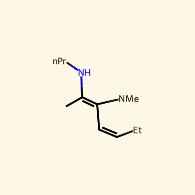 CC/C=C\C(NC)=C(/C)NCCC